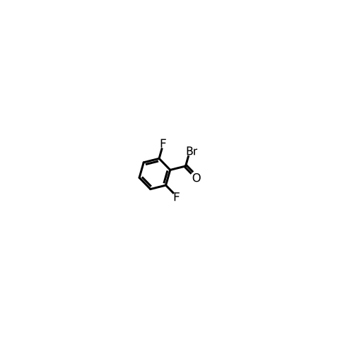 O=C(Br)c1c(F)cccc1F